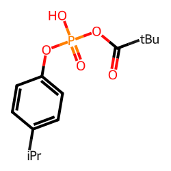 CC(C)c1ccc(OP(=O)(O)OC(=O)C(C)(C)C)cc1